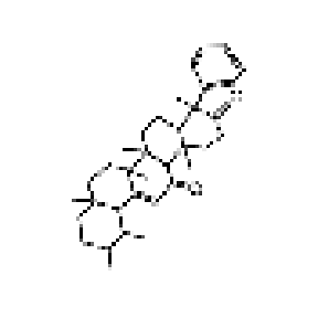 CC1CCC2(C)CCC3(C)C(=CC(=O)C4C5(C)CCC(=O)C(C)(c6ccccc6)C5CCC43C)C2C1C